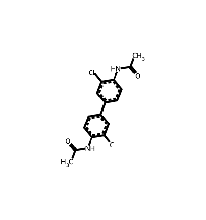 CC(=O)Nc1ccc(-c2ccc(NC(C)=O)c(Cl)c2)cc1Cl